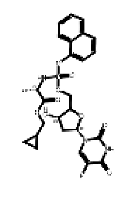 C[C@H](NP(=O)(OCC1O[C@@H](n2cc(F)c(=O)[nH]c2=O)C[C@H]1O)Oc1cccc2ccccc12)C(=O)OCC1CC1